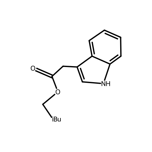 CCC(C)COC(=O)Cc1c[nH]c2ccccc12